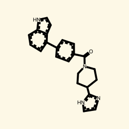 O=C(c1ccc(-c2cccc3[nH]ccc23)cc1)N1CCC(c2ncc[nH]2)CC1